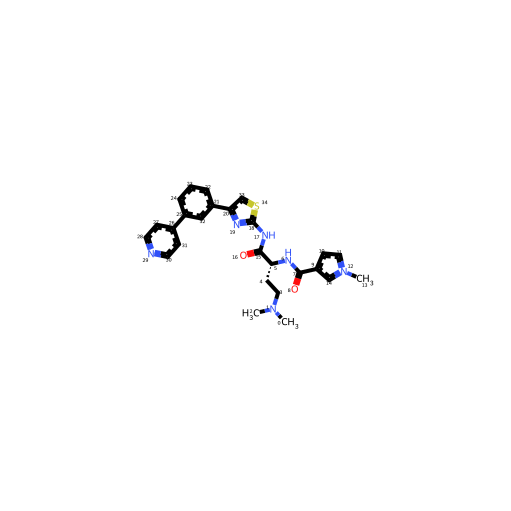 CN(C)CC[C@@H](NC(=O)c1ccn(C)c1)C(=O)Nc1nc(-c2cccc(-c3ccncc3)c2)cs1